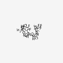 CCN(C[C@H]1C[C@H](C)CN1CC(F)(F)F)c1cc(NC(=O)Cn2cc(-c3cc(C(N)=O)c(O)c(F)c3F)c3c(=O)n(C)cnc32)c(Cl)cn1